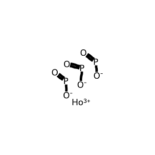 O=P[O-].O=P[O-].O=P[O-].[Ho+3]